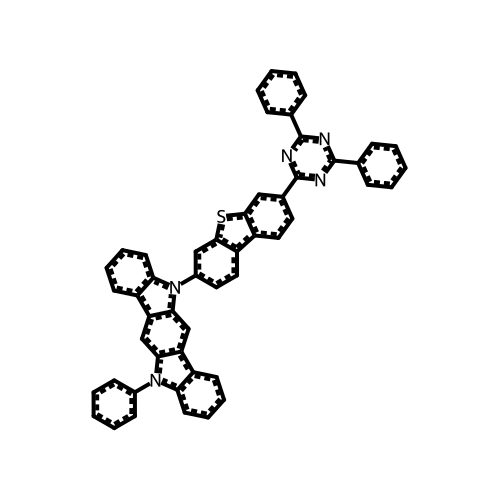 c1ccc(-c2nc(-c3ccccc3)nc(-c3ccc4c(c3)sc3cc(-n5c6ccccc6c6cc7c(cc65)c5ccccc5n7-c5ccccc5)ccc34)n2)cc1